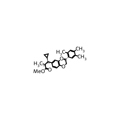 COC(=O)[C@@H](C)[C@H](c1ccc2c(c1)O[C@H](c1cc(C)c(C)cc1C)CO2)C1CC1